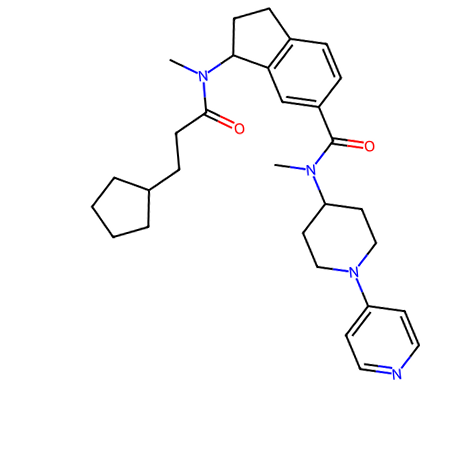 CN(C(=O)c1ccc2c(c1)C(N(C)C(=O)CCC1CCCC1)CC2)C1CCN(c2ccncc2)CC1